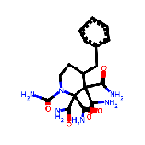 NC(=O)N1CCC(Cc2ccccc2)C(C(N)=O)(C(N)=O)C1(C(N)=O)C(N)=O